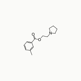 Cc1cccc(C(=O)OCCN2CCCC2)c1